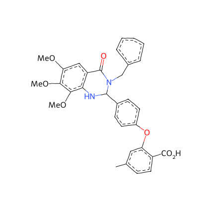 COc1cc2c(c(OC)c1OC)NC(c1ccc(Oc3cc(C)ccc3C(=O)O)cc1)N(Cc1ccccc1)C2=O